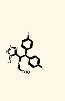 CCn1nnnc1C(=C=CC=O)C(c1ccc(F)cc1)c1ccc(F)cc1